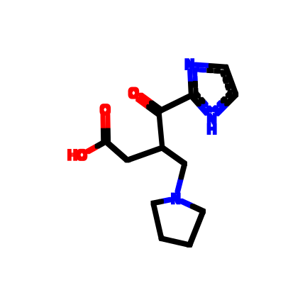 O=C(O)CC(CN1CCCC1)C(=O)c1ncc[nH]1